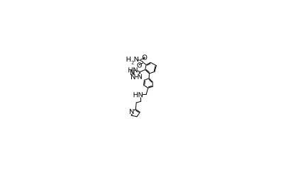 NS(=O)(=O)c1cccc(-c2ccc(CNCCC3=CCC=N3)cc2)c1-c1nnn[nH]1